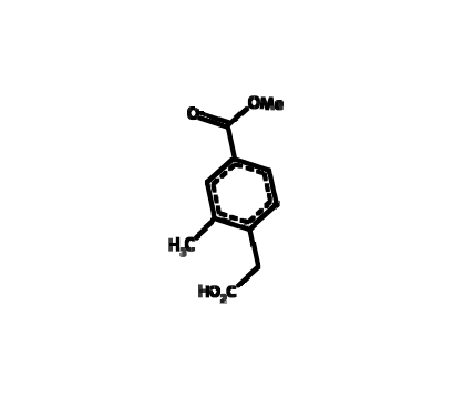 COC(=O)c1ccc(CC(=O)O)c(C)c1